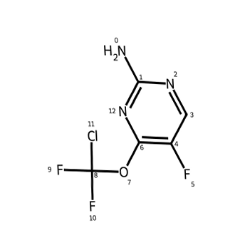 Nc1ncc(F)c(OC(F)(F)Cl)n1